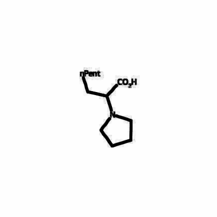 CCCCCCC(C(=O)O)N1CCCC1